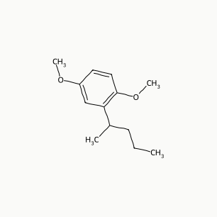 CCCC(C)c1cc(OC)ccc1OC